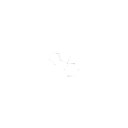 OC1(c2ccsc2)C[CH]CCC1